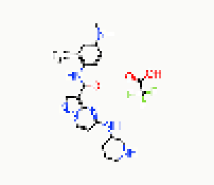 CN(C)c1ccc(NC(=O)c2cnn3ccc(N[C@@H]4CCCNC4)nc23)c(C(F)(F)F)c1.O=C(O)C(F)(F)F